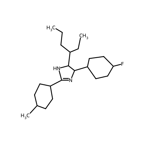 CCCC(CC)C1NC(C2CCC(C)CC2)=NC1C1CCC(F)CC1